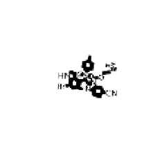 Cc1ccc(S(=O)(=O)C(c2c(C)cc(Br)c3[nH]ccc23)c2nc3ccc(C#N)cc3n2COCC[Si](C)(C)C)cc1